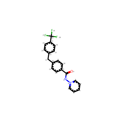 O=C([N-][n+]1ccccc1)c1ccc(Cc2ccc(C(F)(F)F)cc2)cc1